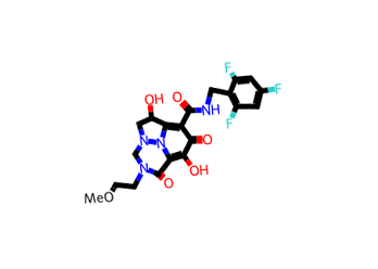 COCCN1CN2CC(O)c3c(C(=O)NCc4c(F)cc(F)cc4F)c(=O)c(O)c(n32)C1=O